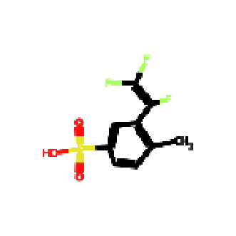 Cc1ccc(S(=O)(=O)O)cc1C(F)=C(F)F